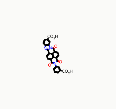 O=C(O)c1cccc(N2C(=O)c3ccc4c(=O)n5c6cc(C(=O)O)ccc6nc5c5ccc(c3c45)C2=O)c1